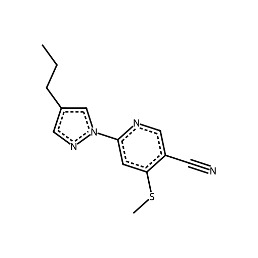 CCCc1cnn(-c2cc(SC)c(C#N)cn2)c1